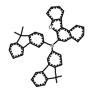 CC1(C)c2ccccc2-c2cc(N(c3ccc4c(c3)-c3ccccc3C4(C)C)c3cc4ccccc4c4c3oc3ccccc34)ccc21